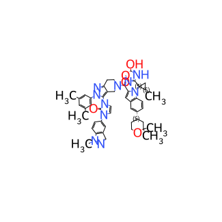 Cc1cc(C)cc(-n2nc3c(c2-n2ccn(-c4ccc5c(cnn5C)c4)c2=O)CN(C(=O)c2cc4cc([C@H]5CCOC(C)(C)C5)ccc4n2[C@@]2(C4=NOC(O)N4)C[C@@H]2C)CC3)c1